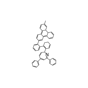 CC1=CC2C(=c3ccc(-c4ccccc4C4=C(C5C=CC(c6ccccc6)=CC(c6ccccc6)=N5)C=CCC4)cc3=C3C=CC=CC32)C=C1